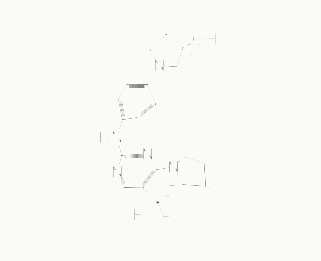 CC1CCN(c2nc(Nc3ccc(N4CC[C@@H](O)C4)cc3)ncc2C(F)(F)F)C1